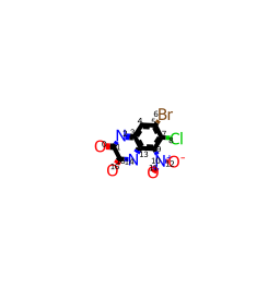 O=C1N=c2cc(Br)c(Cl)c([N+](=O)[O-])c2=NC1=O